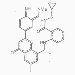 CN/C=C1/C=C(c2cc(=O)c3cc(C)cc([C@@H](C)Nc4ccccc4C(=O)NSC4CC4)c3o2)C=CC1=N